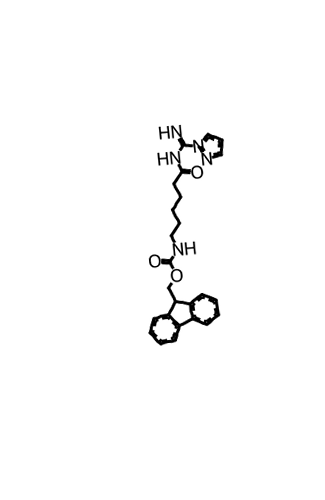 N=C(NC(=O)CCCCCNC(=O)OCC1c2ccccc2-c2ccccc21)n1cccn1